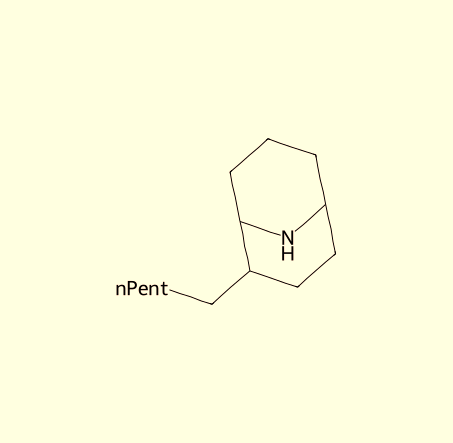 CCCCCCC1CCC2CCCC1N2